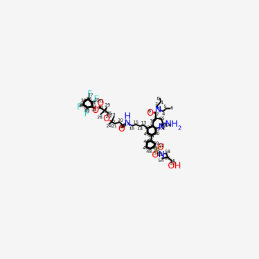 CCCN(CCC)C(=O)C1=Cc2c(CCCCNC(=O)CCC(C)(C)OCC(C)(C)C(=O)Oc3c(F)c(F)cc(F)c3F)cc(-c3cccc(S(=O)(=O)N4CC(CO)C4)c3)cc2N=C(N)C1